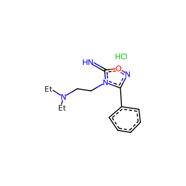 CCN(CC)CCn1c(-c2ccccc2)noc1=N.Cl